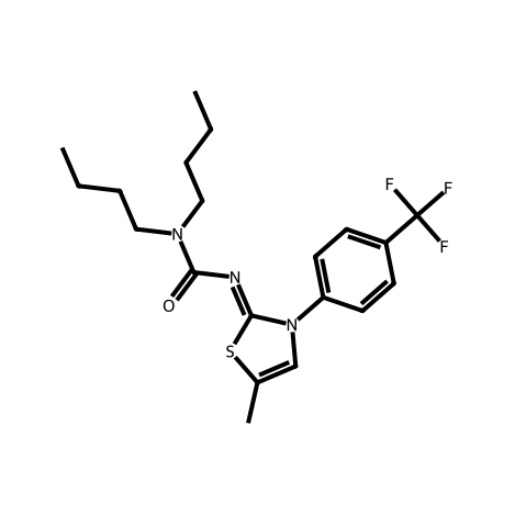 CCCCN(CCCC)C(=O)N=c1sc(C)cn1-c1ccc(C(F)(F)F)cc1